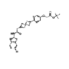 CC(C)(C)OC(=O)COc1cnc(N2CC3(CN(CC(=O)Nc4nc5ccc(Br)cc5s4)C3)C2)nc1